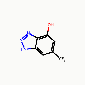 Oc1cc(C(F)(F)F)cc2[nH]nnc12